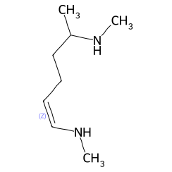 CN/C=C\CCC(C)NC